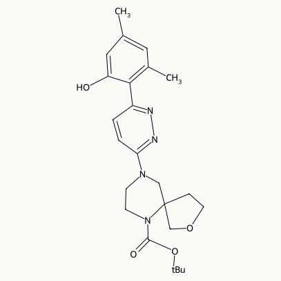 Cc1cc(C)c(-c2ccc(N3CCN(C(=O)OC(C)(C)C)C4(CCOC4)C3)nn2)c(O)c1